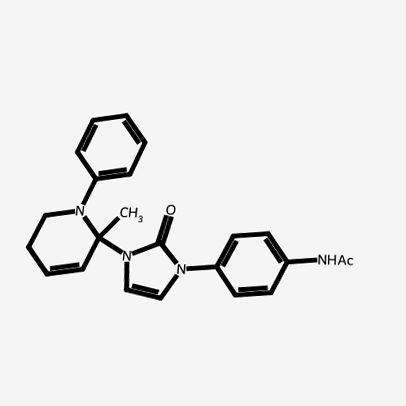 CC(=O)Nc1ccc(-n2ccn(C3(C)C=CCCN3c3ccccc3)c2=O)cc1